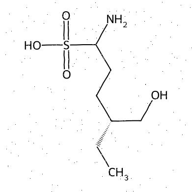 CC[C@@H](CO)CCC(N)S(=O)(=O)O